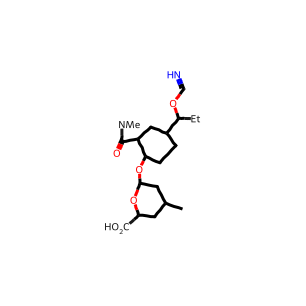 CCC(OC=N)C1CCC(OC2CC(C)CC(C(=O)O)O2)C(C(=O)NC)C1